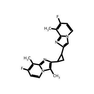 Cc1c(F)ccn2cc(C3CC3c3nc4c(C)c(F)ccn4c3C)nc12